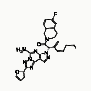 C=C(/C=C\C=C/C)[C@@H](C(=O)N1CCc2cc(F)ccc2C1)n1ncc2c1nc(N)n1nc(-c3ccco3)nc21